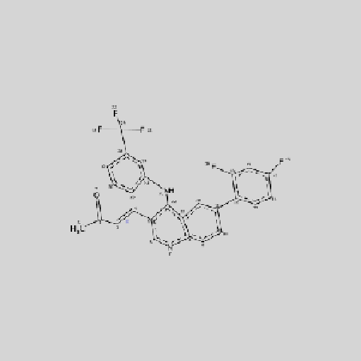 CC(=O)/C=C/c1cnc2ccc(-c3ccc(F)cc3F)cc2c1Nc1cccc(C(F)(F)F)c1